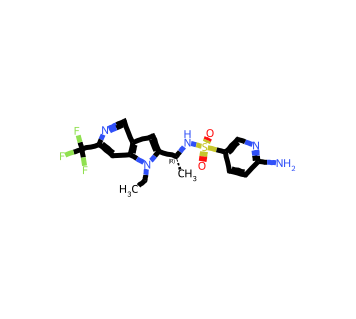 CCn1c([C@@H](C)NS(=O)(=O)c2ccc(N)nc2)cc2cnc(C(F)(F)F)cc21